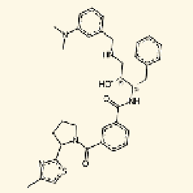 Cc1csc(C2CCCN2C(=O)c2cccc(C(=O)N[C@@H](Cc3ccccc3)[C@H](O)CNCc3cccc(N(C)C)c3)c2)n1